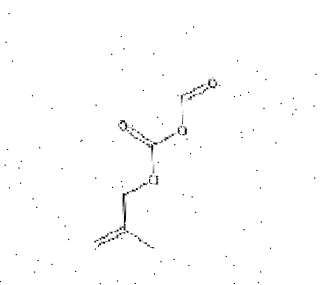 C=C(C)COC(=O)O[C]=O